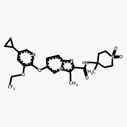 Cc1c(C(=O)NC2(C)CCS(=O)(=O)CC2)nc2ccc(Oc3ncc(C4CC4)cc3OCC(F)(F)F)cn12